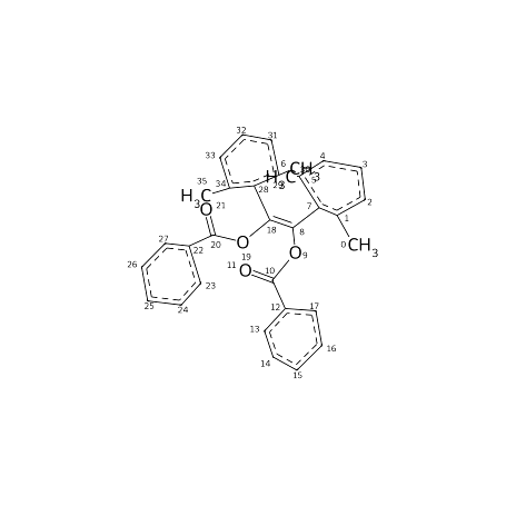 Cc1cccc(C)c1C(OC(=O)c1ccccc1)=C(OC(=O)c1ccccc1)c1c(C)cccc1C